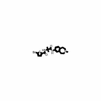 CN1CCc2ccc(NC(=O)C(C)(C)NC(=O)c3ccc(Br)s3)cc2CC1